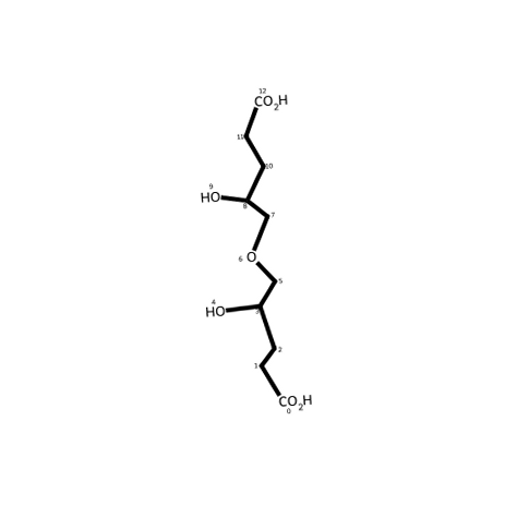 O=C(O)CCC(O)COCC(O)CCC(=O)O